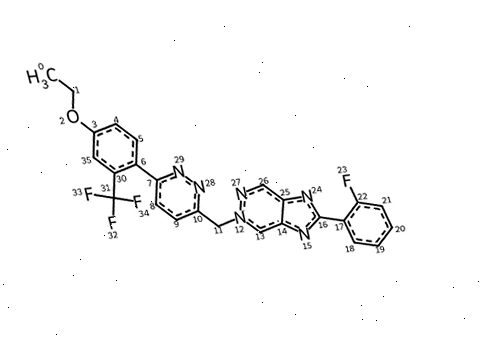 CCOc1ccc(-c2ccc(Cn3cc4nc(-c5ccccc5F)nc-4cn3)nn2)c(C(F)(F)F)c1